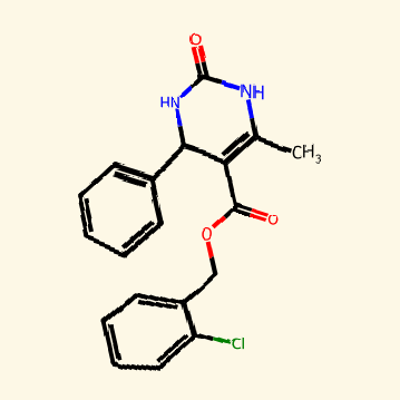 CC1=C(C(=O)OCc2ccccc2Cl)C(c2ccccc2)NC(=O)N1